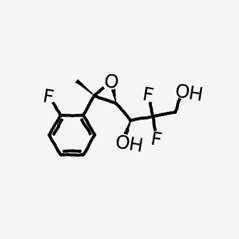 C[C@@]1(c2ccccc2F)O[C@H]1[C@H](O)C(F)(F)CO